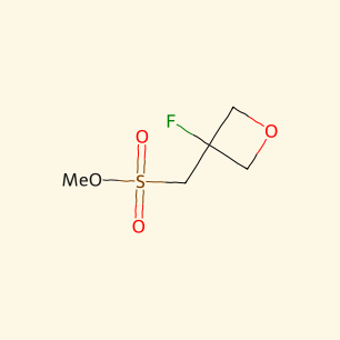 COS(=O)(=O)CC1(F)COC1